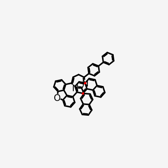 C1=C(c2cccc3oc4cccc(-c5ccc6ccc7ccccc7c6c5)c4c23)N=C(c2ccc3ccccc3c2)N=C(c2ccc(-c3ccccc3)cc2)C1